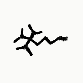 CCCCCCCCCC[Si](N(C)C)(N(C)C)N(C)C